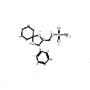 NS(=O)(=O)OC[C@@H]1OC2(CCCCC2)O[C@H]1c1ccccc1